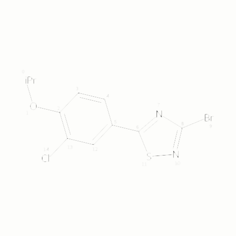 CC(C)Oc1ccc(-c2nc(Br)ns2)cc1Cl